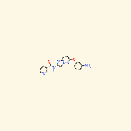 Nc1cccc(Oc2ccc3nc(NC(=O)c4cccnc4)cn3n2)c1